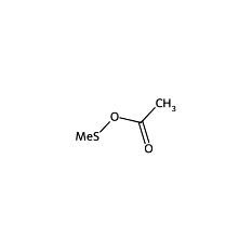 CSOC(C)=O